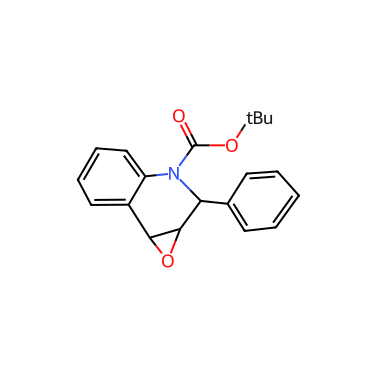 CC(C)(C)OC(=O)N1c2ccccc2C2OC2C1c1ccccc1